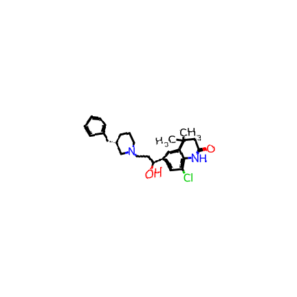 CC1(C)CC(=O)Nc2c(Cl)cc(C(O)CCN3CCC[C@@H](Cc4ccccc4)C3)cc21